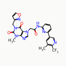 Cc1cc(-c2cccc(NC(=O)Cn3cnc4c3c(=O)n(Cc3ccon3)c(=O)n4C)n2)cnc1C(F)(F)F